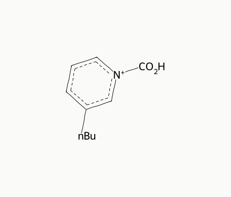 CCCCc1ccc[n+](C(=O)O)c1